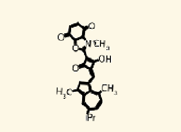 Cc1cc(/C=C2\C(=O)C(C3=[N+](C)C4C(=O)C=CC(=O)C4O3)=C2O)c2c(C)ccc(C(C)C)cc1-2